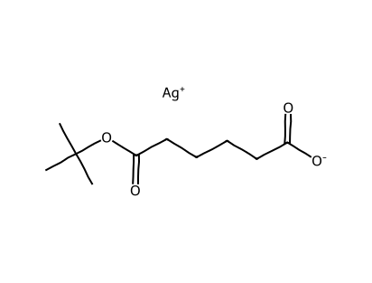 CC(C)(C)OC(=O)CCCCC(=O)[O-].[Ag+]